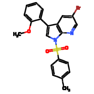 COc1ccccc1-c1cn(S(=O)(=O)c2ccc(C)cc2)c2ncc(Br)cc12